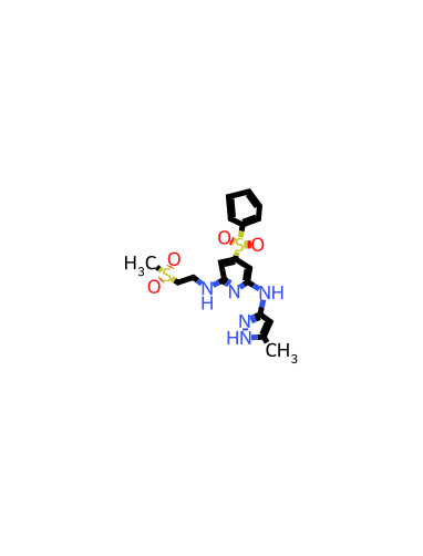 Cc1cc(Nc2cc(S(=O)(=O)c3ccccc3)cc(NCCS(C)(=O)=O)n2)n[nH]1